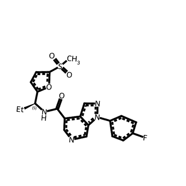 CC[C@H](NC(=O)c1cncc2c1cnn2-c1ccc(F)cc1)c1ccc(S(C)(=O)=O)o1